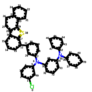 Clc1cccc(N(c2cccc(-c3cccc4c3sc3c5ccccc5ccc43)c2)c2cccc(N(c3ccccc3)c3ccccc3)c2)c1